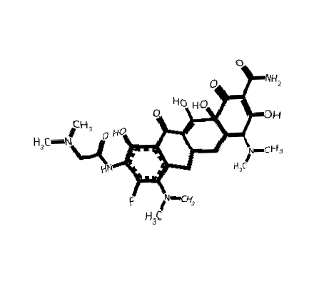 CN(C)CC(=O)Nc1c(O)c2c(c(N(C)C)c1F)CC1CC3[C@H](N(C)C)C(O)=C(C(N)=O)C(=O)C3(O)C(O)=C1C2=O